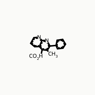 Cc1c(-c2ccccc2)nc2ncccc2c1C(=O)O